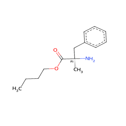 CCCCOC(=O)[C@](C)(N)Cc1ccccc1